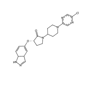 O=C1[C@@H](OC2=CC3C=NNC3C=C2)CCN1C1CCN(c2cnc(Cl)cn2)CC1